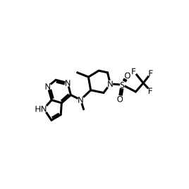 CC1CCN(S(=O)(=O)CC(F)(F)F)CC1N(C)c1ncnc2[nH]ccc12